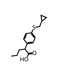 CCCC(C(=O)O)c1ccc(SCC2CC2)cc1